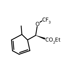 CCOC(=O)[C@H](OC(F)(F)F)C1C=CC=CC1C